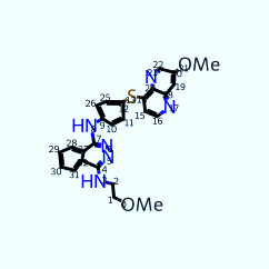 COCCNc1nnc(Nc2ccc(Sc3ccnc4cc(OC)cnc34)cc2)c2ccccc12